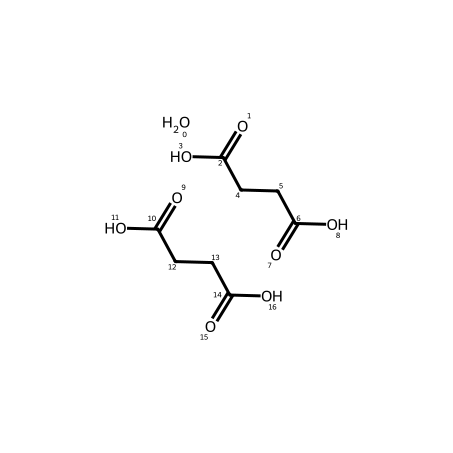 O.O=C(O)CCC(=O)O.O=C(O)CCC(=O)O